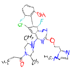 C=CC(=O)N1C[C@H](C)N(c2nc(OCCc3nccn3C)nc3c(F)c(-c4c(O)cccc4F)c(Cl)cc23)C[C@H]1C